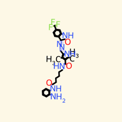 Cc1[nH]c(/C=N/N=C2\C(=O)Nc3cc(C(F)(F)F)ccc32)c(C)c1C(=O)NCCCCCC(=O)Nc1ccccc1N